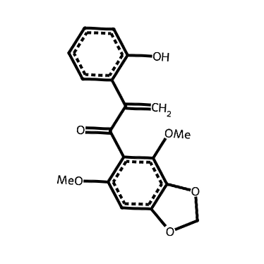 C=C(C(=O)c1c(OC)cc2c(c1OC)OCO2)c1ccccc1O